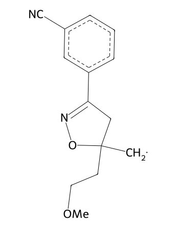 [CH2]C1(CCOC)CC(c2cccc(C#N)c2)=NO1